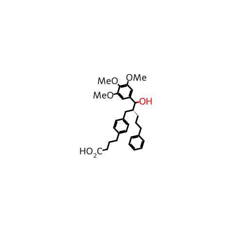 COc1cc(C(O)[C@H](CCCc2ccccc2)Cc2ccc(CCCC(=O)O)cc2)cc(OC)c1OC